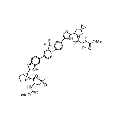 COC(=O)NC(CS(C)(=O)=O)C(=O)N1C2CCC(C2)C1c1nc2ccc(-c3ccc4c(c3)C(F)(F)c3cc(-c5cnc(C6CC7(CC7)CN6C(=O)C(NC(=O)OC)C(C)C)[nH]5)ccc3-4)cc2[nH]1